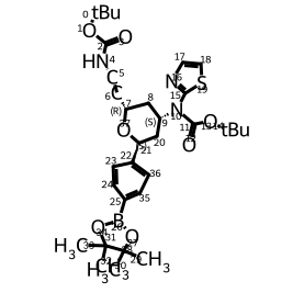 CC(C)(C)OC(=O)NCC[C@@H]1C[C@H](N(C(=O)OC(C)(C)C)c2nccs2)C[C@@H](c2ccc(B3OC(C)(C)C(C)(C)O3)cc2)O1